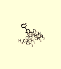 CC(C)(C)NC(=O)[C@@H]1CC(c2cccs2)CN1C(=O)OC(C)(C)C